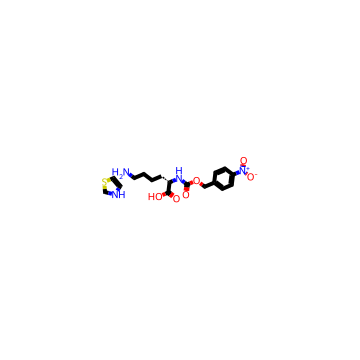 C1=CSCN1.NCCCC[C@H](NC(=O)OCc1ccc([N+](=O)[O-])cc1)C(=O)O